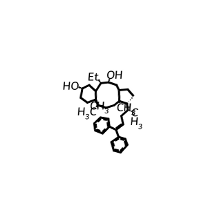 CC[C@@H]1C2C[C@H](O)CC[C@]2(C)C(C)CC[C@@]2(C)C(CC[C@@H]2[C@H](C)CC=C(c2ccccc2)c2ccccc2)C[C@@H]1O